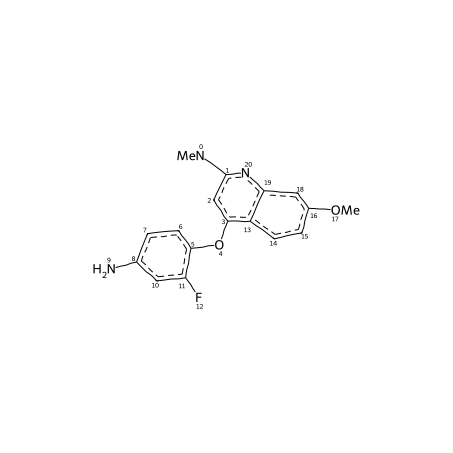 CNc1cc(Oc2ccc(N)cc2F)c2ccc(OC)cc2n1